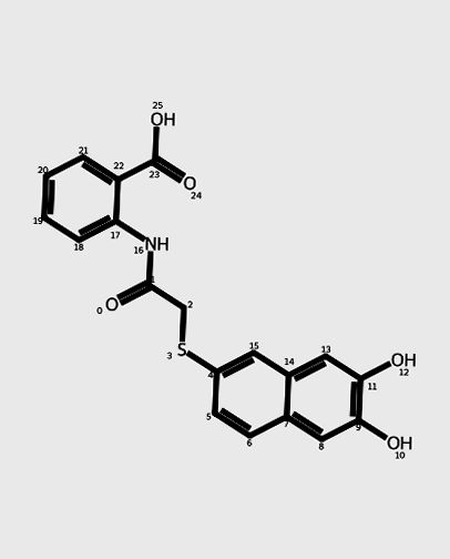 O=C(CSc1ccc2cc(O)c(O)cc2c1)Nc1ccccc1C(=O)O